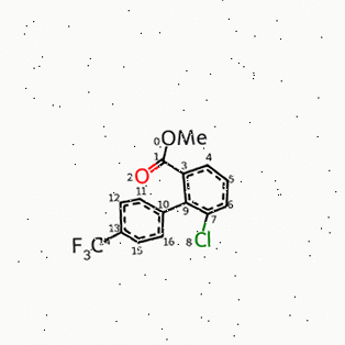 COC(=O)c1cccc(Cl)c1-c1ccc(C(F)(F)F)cc1